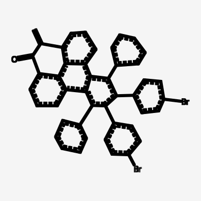 C=C1C(=O)c2cccc3c2c2c1cccc2c1c(-c2ccccc2)c(-c2ccc(Br)cc2)c(-c2ccc(Br)cc2)c(-c2ccccc2)c31